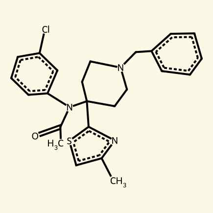 CC(=O)N(c1cccc(Cl)c1)C1(c2nc(C)cs2)CCN(Cc2ccccc2)CC1